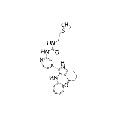 CSCCNC(=O)Nc1cc(-c2[nH]c3c(c2Nc2ccccc2)C(=O)CCC3)ccn1